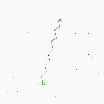 CC(C)C=CC=CCCCCCCCl